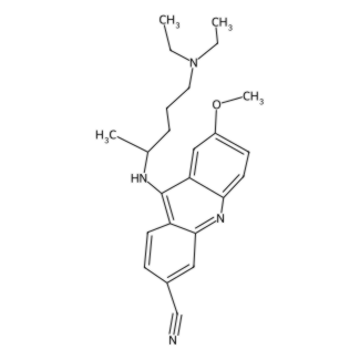 CCN(CC)CCCC(C)Nc1c2ccc(C#N)cc2nc2ccc(OC)cc12